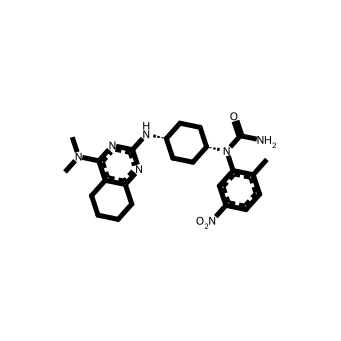 Cc1ccc([N+](=O)[O-])cc1N(C(N)=O)[C@H]1CC[C@@H](Nc2nc3c(c(N(C)C)n2)CCCC3)CC1